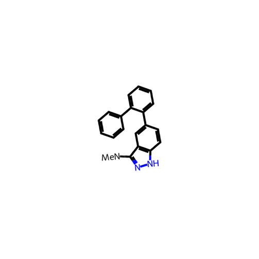 CNc1n[nH]c2ccc(-c3ccccc3-c3ccccc3)cc12